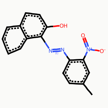 Cc1ccc(/N=N/c2c(O)ccc3ccccc23)c([N+](=O)[O-])c1